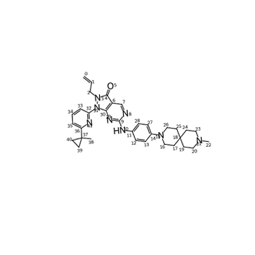 C=CCn1c(=O)c2cnc(Nc3ccc(N4CCC5(CCN(C)CC5)CC4)cc3)nc2n1-c1cccc(C2(C)CC2)n1